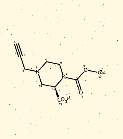 C#CCN1CCN(C(=O)OC(C)(C)C)[C@@H](C(=O)O)C1